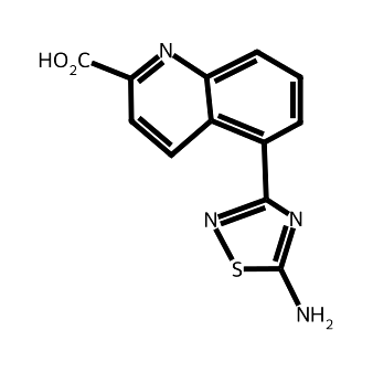 Nc1nc(-c2cccc3nc(C(=O)O)ccc23)ns1